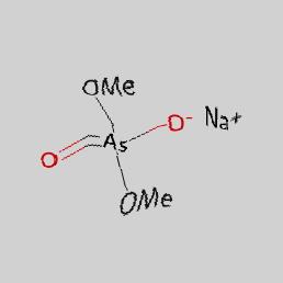 CO[As](=O)([O-])OC.[Na+]